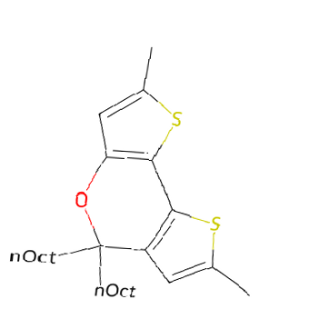 CCCCCCCCC1(CCCCCCCC)Oc2cc(C)sc2-c2sc(C)cc21